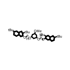 COC1CC(OPOc2cc3ccc(C(C)(C)C)cc3cc2C(C)(C)C)CC(OPOc2cc3ccc(C(C)(C)C)cc3cc2C(C)(C)C)C1